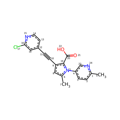 Cc1ccc(-n2c(C)cc(C#Cc3ccnc(Cl)c3)c2C(=O)O)cn1